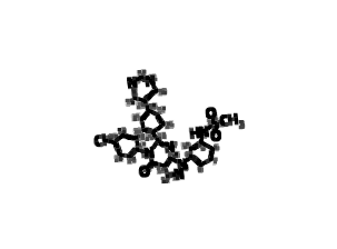 CS(=O)(=O)Nc1cccc(-n2ncc3c(=O)n(-c4ccc(Cl)cc4)c(-c4ccc(-c5cncnc5)cc4)nc32)c1